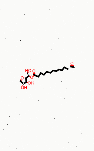 C1CO1.CCCCCCCCCCCC(=O)O[C@H](CO)[C@H]1OC[C@H](O)[C@H]1O